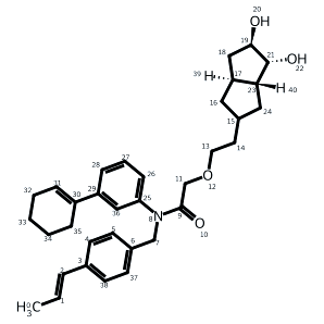 CC=Cc1ccc(CN(C(=O)COCCC2C[C@H]3C[C@@H](O)[C@H](O)[C@@H]3C2)c2cccc(C3=CCCCC3)c2)cc1